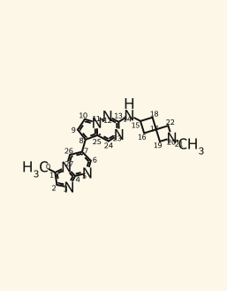 Cc1cnc2ncc(-c3ccn4nc(NC5CC6(C5)CN(C)C6)ncc34)cn12